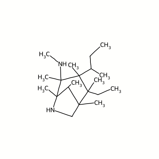 CCC(C)C1(C)C(C)(CC)C2(C)CNC(C)(C2C)C1(C)NC